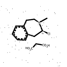 CN1CCc2ccccc2C[C@@H]1Cl.O=C(O)CC(=O)O